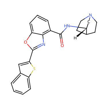 O=C(N[C@@H]1CN2CCC1CC2)c1cccc2oc(-c3cc4ccccc4s3)nc12